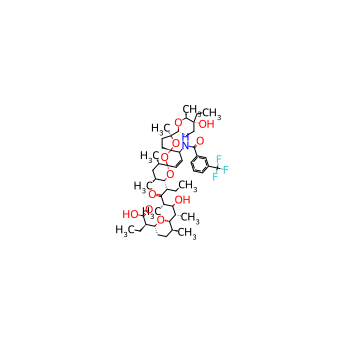 CCC(C(=O)[C@@H](C)[C@@H](O)[C@H](C)[C@@H]1O[C@@H]([C@@H](CC)C(=O)O)CC[C@@H]1C)[C@H]1O[C@]2(C=CC(NC(=O)c3cccc(C(F)(F)F)c3)[C@]3(CC[C@@](C)([C@H]4CC[C@](O)(CC)[C@H](C)O4)O3)O2)[C@H](C)C[C@@H]1C